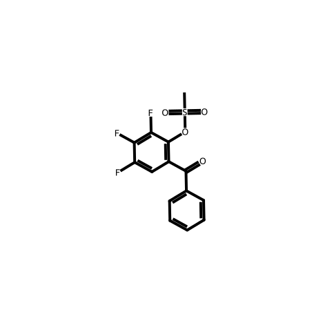 CS(=O)(=O)Oc1c(C(=O)c2ccccc2)cc(F)c(F)c1F